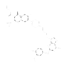 CCOC(=O)c1c(C2CC2)[nH]c2cc(N3CCN(CCCCn4cnc5c(I)nc(Nc6ccc(C)c(CC)c6)nc54)CC3)c(F)cc2c1=O